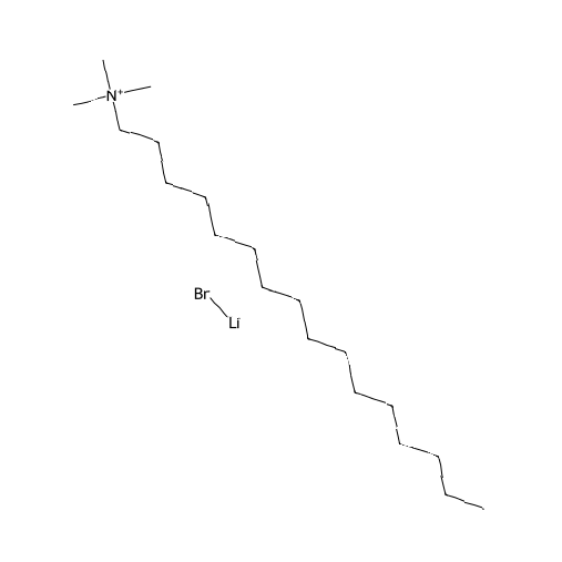 CCCCCCCCCCCCCCCC[N+](C)(C)C.[Li][Br]